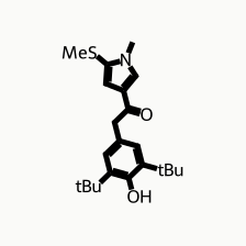 CSc1cc(C(=O)Cc2cc(C(C)(C)C)c(O)c(C(C)(C)C)c2)cn1C